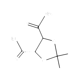 CCC(=O)[C@H]1OC(C)(C)OC1C(=O)C(C)(C)C